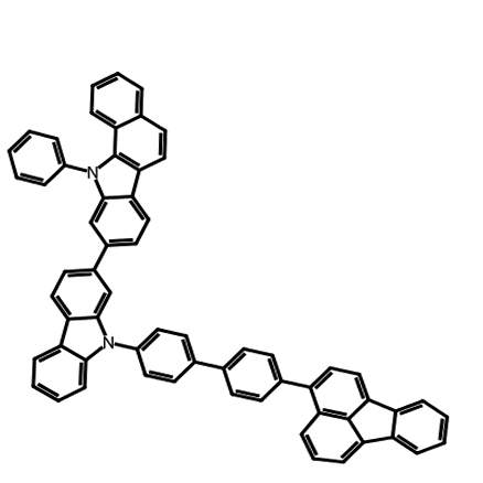 c1ccc(-n2c3cc(-c4ccc5c6ccccc6n(-c6ccc(-c7ccc(-c8ccc9c%10c(cccc8%10)-c8ccccc8-9)cc7)cc6)c5c4)ccc3c3ccc4ccccc4c32)cc1